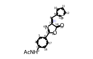 CC(=O)Nc1ccc(C2=N/C(=C/c3cccs3)C(=O)O2)cc1